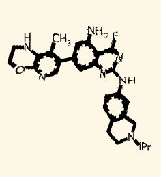 Cc1c(-c2cc(N)c3c(F)nc(Nc4ccc5c(c4)CN(C(C)C)CC5)nc3c2)cnc2c1NCCO2